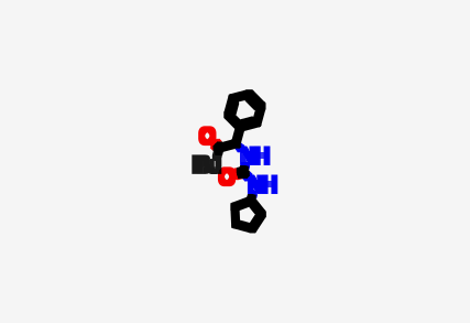 CCC(C)C(=O)[C@H](NC(=O)NC1CCCC1)c1ccccc1